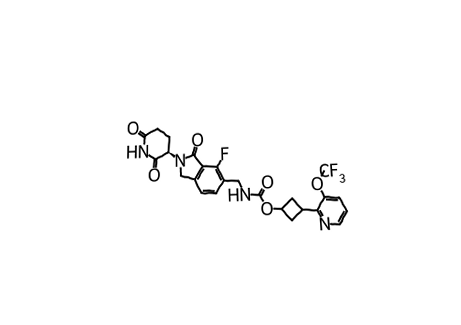 O=C1CC[C@@H](N2Cc3ccc(CNC(=O)OC4CC(c5ncccc5OC(F)(F)F)C4)c(F)c3C2=O)C(=O)N1